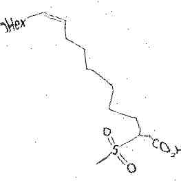 CCCCCC/C=C\CCCCCCC(C(=O)O)S(C)(=O)=O